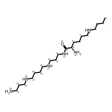 CCCCNCCCC[C@@H](N)C(=O)NCCCNCCCCNCCCN